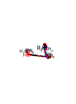 C[N+]1=C(/C=C/C=C/C=C/C=C2/N(CCCCCCCCCCCCCCCCCCOP(=O)(O)OCC[N+](C)(C)C)c3ccc4ccccc4c3C2(C)C)C(C)(C)c2c1ccc1ccccc21